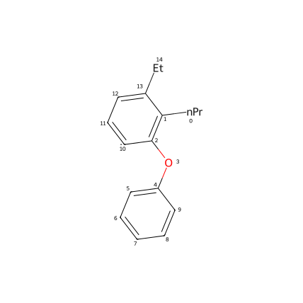 CCCc1c(Oc2ccccc2)[c]ccc1CC